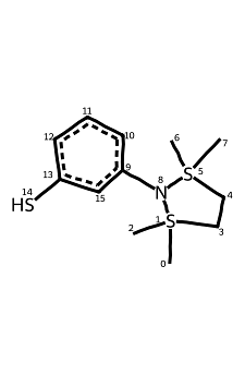 CS1(C)CCS(C)(C)N1c1cccc(S)c1